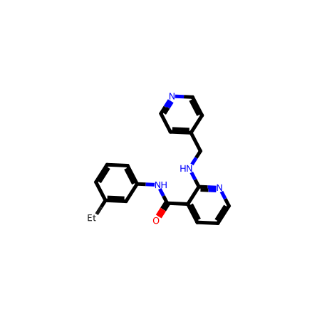 CCc1cccc(NC(=O)c2cccnc2NCc2ccncc2)c1